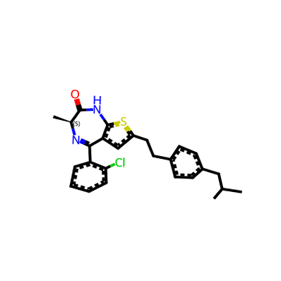 CC(C)Cc1ccc(CCc2cc3c(s2)NC(=O)[C@H](C)N=C3c2ccccc2Cl)cc1